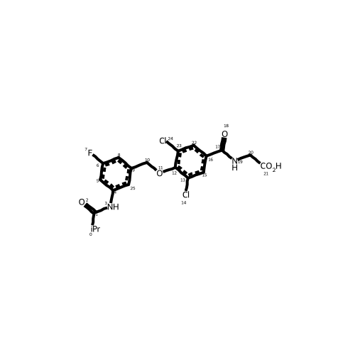 CC(C)C(=O)Nc1cc(F)cc(COc2c(Cl)cc(C(=O)NCC(=O)O)cc2Cl)c1